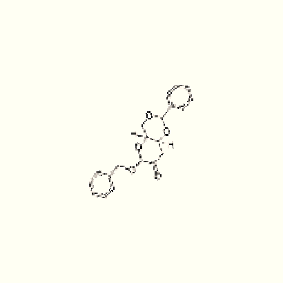 O=C1C[C@@H]2OC(c3ccccc3)OC[C@H]2O[C@@H]1OCc1ccccc1